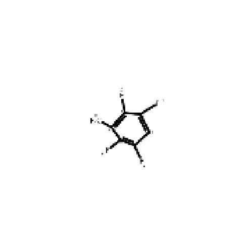 Fc1[c]c(F)c(F)c(C(F)(F)F)c1F